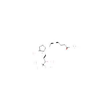 CCCCC(C)(C)[C@H](O)/C=C/[C@@H]1[C@@H](CC=C=CCCC(=O)OC)[C@H](F)C[C@H]1O